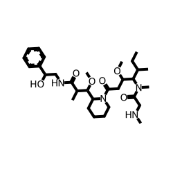 CCC(C)C(C(CC(=O)N1CCCCC1C(OC)C(C)C(=O)NCC(O)c1ccccc1)OC)N(C)C(=O)CNC